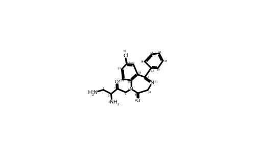 NCC(N)C(=O)CN1C(=O)CN=C(c2ccccc2)c2cc(Cl)ccc21